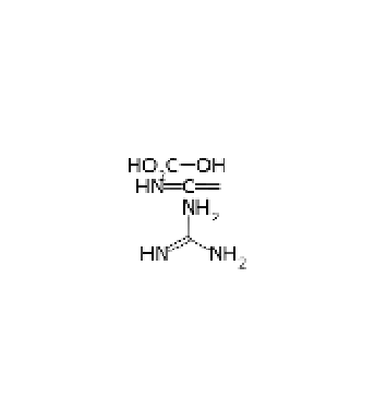 C=C=N.N=C(N)N.O=C(O)O